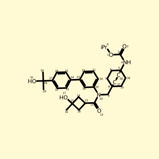 CC(C)OC(=O)NC12CCC(CN(C(=O)C3CC(C)(O)C3)c3cccc(-c4ccc(C(C)(C)O)cc4)c3)(CC1)CC2